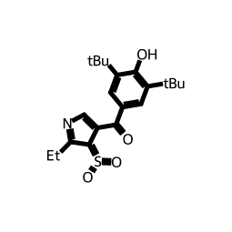 CCC1=NC=C(C(=O)c2cc(C(C)(C)C)c(O)c(C(C)(C)C)c2)C1=S(=O)=O